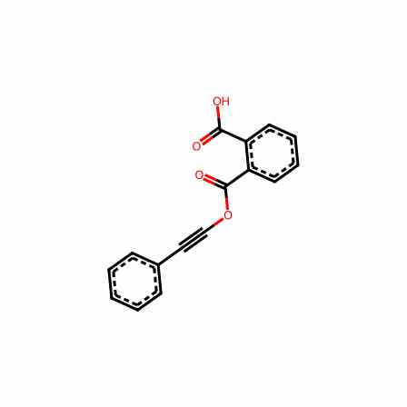 O=C(O)c1ccccc1C(=O)OC#Cc1ccccc1